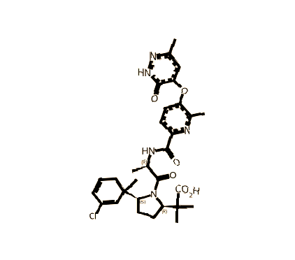 Cc1cc(Oc2ccc(C(=O)N[C@H](C)C(=O)N3[C@H](C4(C)C=C(Cl)C=CC4)CC[C@@H]3C(C)(C)C(=O)O)nc2C)c(=O)[nH]n1